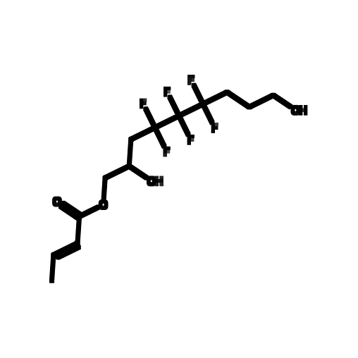 CC=CC(=O)OCC(O)CC(F)(F)C(F)(F)C(F)(F)CCCO